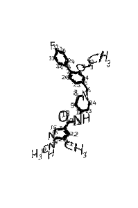 CCOc1cc(CN2CCC(NC(=O)c3cnc(NC)c(C)c3)CC2)ccc1-c1ccc(F)cc1